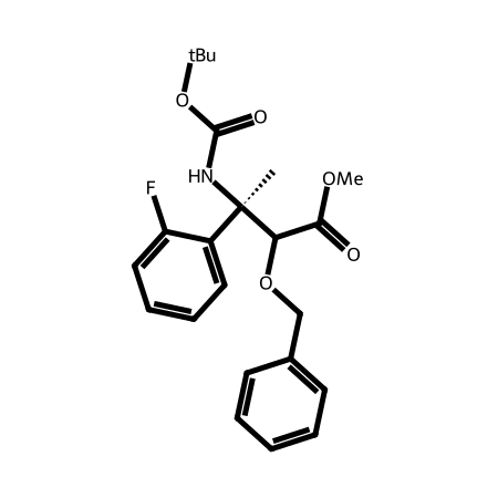 COC(=O)C(OCc1ccccc1)[C@](C)(NC(=O)OC(C)(C)C)c1ccccc1F